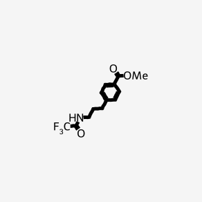 COC(=O)c1ccc(CCCNC(=O)C(F)(F)F)cc1